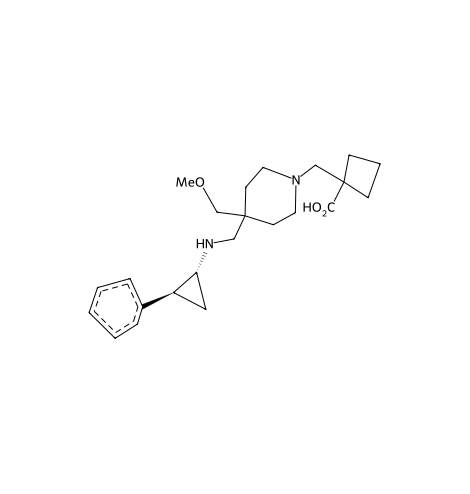 COCC1(CN[C@@H]2C[C@H]2c2ccccc2)CCN(CC2(C(=O)O)CCC2)CC1